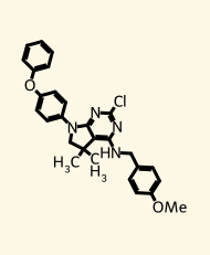 COc1ccc(CNc2nc(Cl)nc3c2C(C)(C)CN3c2ccc(Oc3ccccc3)cc2)cc1